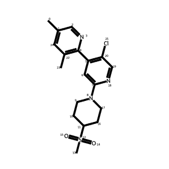 Cc1cnc(-c2cc(N3CCC(S(C)(=O)=O)CC3)ncc2Cl)c(C)c1